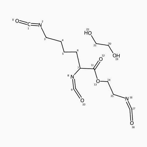 O=C=NCCCCC(N=C=O)C(=O)OCCN=C=O.OCCO